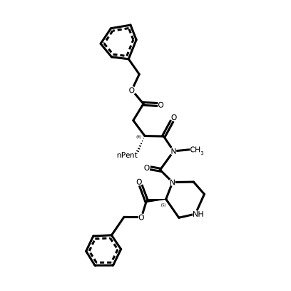 CCCCC[C@H](CC(=O)OCc1ccccc1)C(=O)N(C)C(=O)N1CCNC[C@H]1C(=O)OCc1ccccc1